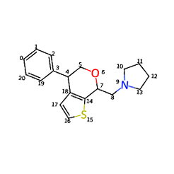 c1ccc(C2COC(CN3CCCC3)c3sccc32)cc1